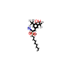 CCCCCCCCCS(=O)(=O)/C(C#N)=C/c1cc(C(C)(C)C)c(O)c(C(C)(C)C)c1